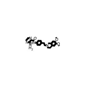 COc1cc2c(cc1OC)CN(CCc1ccc(NC(=O)c3nccnc3N)cc1)CC2